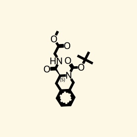 COC(=O)CNC(=O)[C@@H]1Cc2ccccc2CN1C(=O)OC(C)(C)C